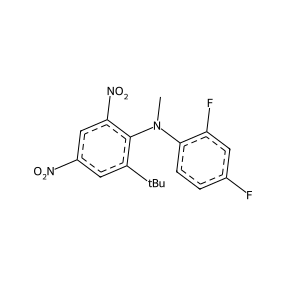 CN(c1ccc(F)cc1F)c1c([N+](=O)[O-])cc([N+](=O)[O-])cc1C(C)(C)C